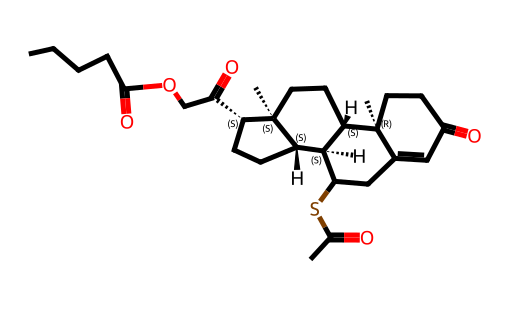 CCCCC(=O)OCC(=O)[C@H]1CC[C@H]2[C@@H]3C(SC(C)=O)CC4=CC(=O)CC[C@]4(C)[C@H]3CC[C@]12C